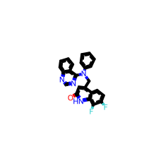 O=c1cc(CN(c2ccccc2)c2ncnc3ccccc23)c2ccc(F)c(F)c2[nH]1